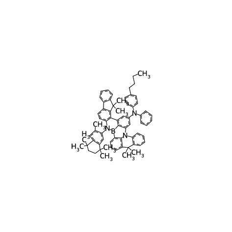 CCCCc1ccc(N(c2ccccc2)c2cc3c4c(c2)N2c5ccccc5C(C)(C)c5cccc(c52)B4N(c2cc4c(cc2C)C(C)(C)CCC4(C)C)c2ccc4c(c2-3)C(C)(C)c2ccccc2-4)cc1